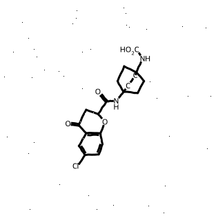 O=C(O)NC12CCC(NC(=O)C3CC(=O)c4cc(Cl)ccc4O3)(CC1)CC2